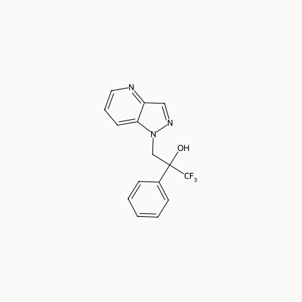 OC(Cn1ncc2ncccc21)(c1ccccc1)C(F)(F)F